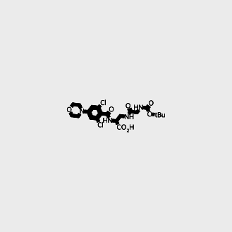 CC(C)(C)OC(=O)NCC(=O)NCC(NC(=O)c1c(Cl)cc(N2CCOCC2)cc1Cl)C(=O)O